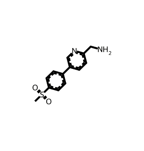 CS(=O)(=O)c1ccc(-c2ccc(CN)nc2)cc1